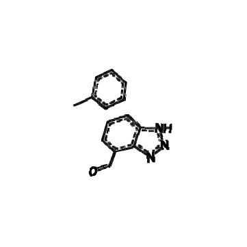 Cc1ccccc1.O=Cc1cccc2[nH]nnc12